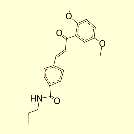 CCCNC(=O)c1ccc(/C=C/C(=O)c2cc(OC)ccc2OC)cc1